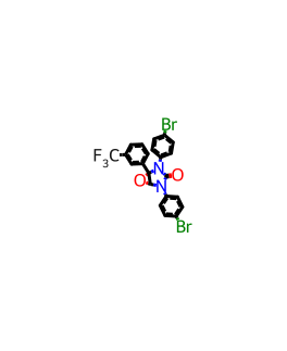 O=C1N(c2ccc(Br)cc2)C2OC2(c2cccc(C(F)(F)F)c2)N1c1ccc(Br)cc1